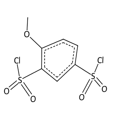 COc1ccc(S(=O)(=O)Cl)cc1S(=O)(=O)Cl